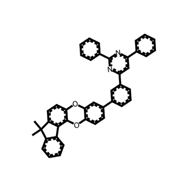 CC1(C)c2ccccc2-c2c1ccc1c2Oc2ccc(-c3cccc(-c4cc(-c5ccccc5)nc(-c5ccccc5)n4)c3)cc2O1